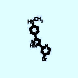 CNc1ccc(-c2cc(-c3cc(Br)ccn3)[nH]n2)cc1